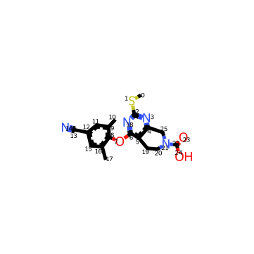 CSc1nc2c(c(Oc3c(C)cc(C#N)cc3C)n1)CCN(C(=O)O)C2